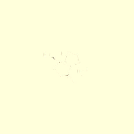 C[C@@H]1CCC(=O)[C@H]2[C@@H]1CC[C@@H]2C